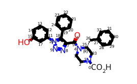 O=C(O)N1CCN(C(=O)c2nnn(-c3cccc(O)c3)c2-c2ccccc2)[C@H](Cc2ccccc2)C1